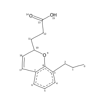 CCCc1cccc2c1OC(CCC(=O)O)C=C2